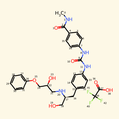 CNC(=O)c1ccc(NC(=O)Nc2ccc(C[C@@H](CO)NC[C@H](O)COc3ccccc3)cc2)cc1.O=C(O)C(F)(F)F